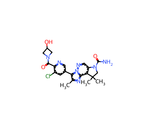 Cc1nc2c3c(cnn2c1-c1cnc(C(=O)N2CC(O)C2)c(Cl)c1)N(C(N)=O)CC3(C)C